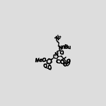 CCCCN(CCC[N+](C)(C)C)C(=O)CN1C[C@H](c2cc(OC)c3c(c2)OCO3)[C@@H](C(=O)O)[C@@H]1CC(C)(C)C1OCCO1